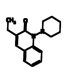 CCc1cc2ccccc2n(N2CCCCC2)c1=O